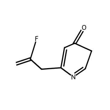 C=C(F)CC1=CC(=O)CC=N1